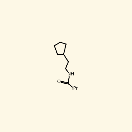 CC(C)C(=O)NCCC1CCCC1